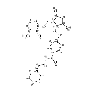 Cc1cccc(SC[C@H]2C(Cl)CC(O)[C@@H]2CCc2ccc(C(=O)OCCN3CCOCC3)cc2)c1C